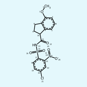 COc1cccc2c1CCC2C(=O)NS(=O)(=O)c1ccc(Cl)cc1[N+](=O)[O-]